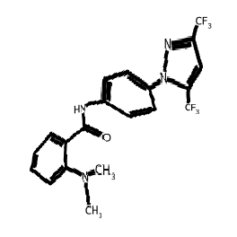 CN(C)c1ccccc1C(=O)Nc1ccc(-n2nc(C(F)(F)F)cc2C(F)(F)F)cc1